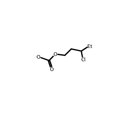 CCC(Cl)CCOC([O])=O